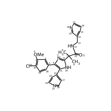 COc1cc(-c2nc(C(C)(C)C(=O)NCc3cccnc3)[nH]c2-c2ccncc2)ccc1Cl